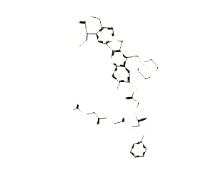 CC[C@@]1(O)C(=O)OCc2c1cc1n(c2=O)Cc2c-1nc1cc(F)c(NC(=O)CNC(=O)[C@H](Cc3ccccc3)NC(=O)CNC(=O)CNC(=O)O)cc1c2CN1CCOCC1